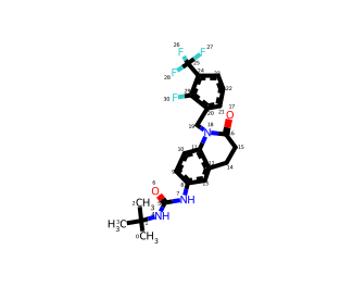 CC(C)(C)NC(=O)Nc1ccc2c(c1)CCC(=O)N2Cc1cccc(C(F)(F)F)c1F